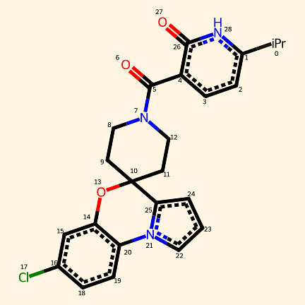 CC(C)c1ccc(C(=O)N2CCC3(CC2)Oc2cc(Cl)ccc2-n2cccc23)c(=O)[nH]1